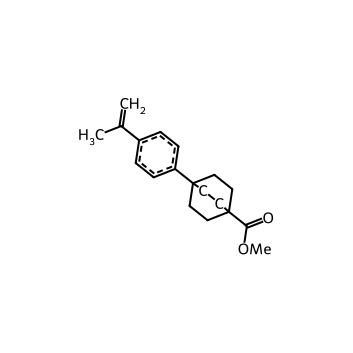 C=C(C)c1ccc(C23CCC(C(=O)OC)(CC2)CC3)cc1